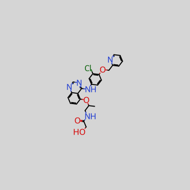 CC(CNC(=O)CO)Oc1cccc2ncnc(Nc3ccc(OCc4ccccn4)c(Cl)c3)c12